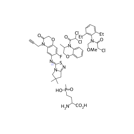 C#CCN1C(=O)COc2cc(F)c(/N=c3\snc4n3CC(C)(C)C4)cc21.CC1COc2ccccc2N1C(=O)C(Cl)Cl.CCc1cccc(CC)c1N(COC)C(=O)CCl.CP(=O)(O)CCC(N)C(=O)O